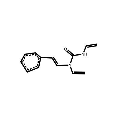 C=CNC(=O)N(C=C)C=Cc1ccccc1